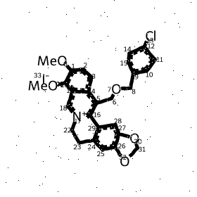 COc1ccc2c(COCc3ccc(Cl)cc3)c3[n+](cc2c1OC)CCc1cc2c(cc1-3)OCO2.[I-]